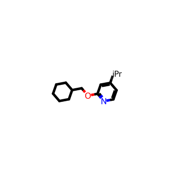 CC(C)c1ccnc(OCC2CCCCC2)c1